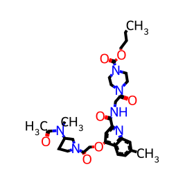 CCCCOC(=O)N1CCN(C(=O)CNC(=O)c2cc(OCC(=O)N3CCC(N(C)C(C)=O)C3)c3ccc(C)cc3n2)CC1